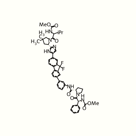 COC(=O)NC(C(=O)N1CC(C)(C)C[C@H]1c1ncc(-c2ccc3c(c2)C(F)(F)c2cc(-c4cccc(NC(=O)[C@@H]5CCCN5C(=O)[C@@H](NC(=O)OC)c5ccccc5)c4)ccc2-3)[nH]1)C(C)C